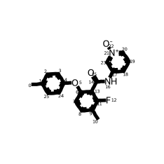 Cc1ccc(Oc2ccc(C)c(F)c2C(=O)Nc2ccc[n+]([O-])c2)cc1